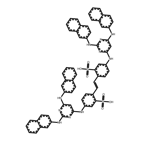 O=S(=O)(O)c1cc(Nc2cc(Nc3ccc4ccccc4c3)nc(Nc3ccc4ccccc4c3)n2)ccc1/C=C/c1ccc(Nc2cc(Nc3ccc4ccccc4c3)nc(Nc3ccc4ccccc4c3)n2)cc1S(=O)(=O)O